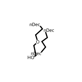 CCCCCCCCCCCCCCCCCCCCCCC.CCCCCCCCCCCCOCCO